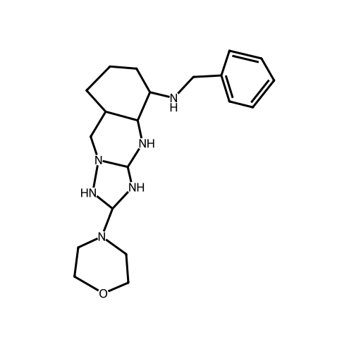 c1ccc(CNC2CCCC3CN4NC(N5CCOCC5)NC4NC32)cc1